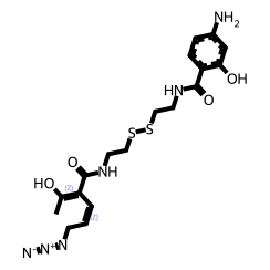 C/C(O)=C(\C=C/CN=[N+]=[N-])C(=O)NCCSSCCNC(=O)c1ccc(N)cc1O